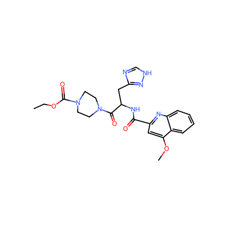 CCOC(=O)N1CCN(C(=O)C(Cc2nc[nH]n2)NC(=O)c2cc(OC)c3ccccc3n2)CC1